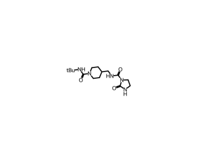 CC(C)(C)NC(=O)N1CCC(CNC(=O)N2CCNC2=O)CC1